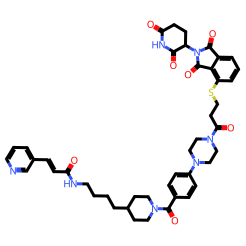 O=C(/C=C/c1cccnc1)NCCCCC1CCN(C(=O)c2ccc(N3CCN(C(=O)CCSc4cccc5c4C(=O)N(C4CCC(=O)NC4=O)C5=O)CC3)cc2)CC1